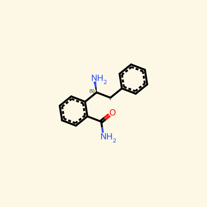 NC(=O)c1ccccc1[C@@H](N)[CH]c1ccccc1